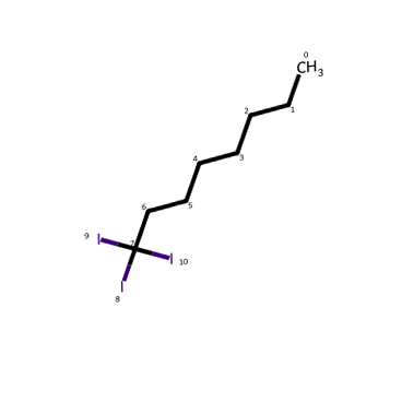 CCCCCCCC(I)(I)I